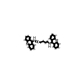 c1ccc2c(NCCCCCCNc3c4ccccc4nc4ccccc34)c3ccccc3nc2c1